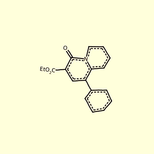 CCOC(=O)c1cc(-c2ccccc2)c2ccccn2c1=O